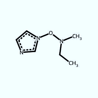 CCN(C)On1ccnc1